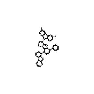 Cc1ccc2c(c1)c1cc(C)ccc1n2-c1cccc2c1sc1c(-c3ccccc3)ccc(-c3cccc4c3oc3ccccc34)c12